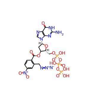 [N-]=[N+]=NCc1cc([N+](=O)[O-])ccc1C(=O)OC1C[C@H](n2cnc3c(=O)[nH]c(N)nc32)O[C@@H]1COP(=O)(O)OP(=O)(O)OP(=O)(O)O